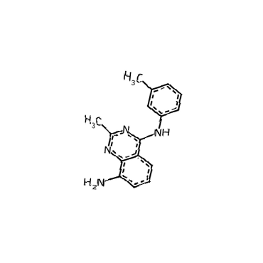 Cc1cccc(Nc2nc(C)nc3c(N)cccc23)c1